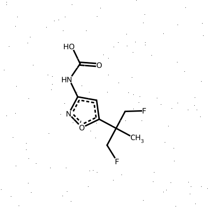 CC(CF)(CF)c1cc(NC(=O)O)no1